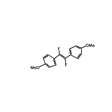 COc1ccc(C(F)=C(F)c2ccc(OC)cc2)cc1